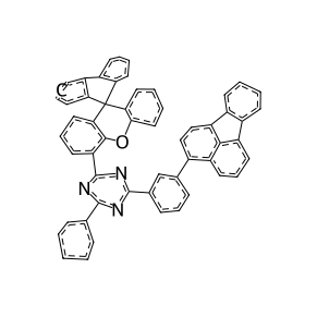 c1ccc(-c2nc(-c3cccc(-c4ccc5c6c(cccc46)-c4ccccc4-5)c3)nc(-c3cccc4c3Oc3ccccc3C43c4ccccc4-c4ccccc43)n2)cc1